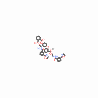 O=CC1(OC2CCC(OC(=O)C3CCCCC3C(O)OCCNC(=O)c3cccc(C4=NCCO4)c3)CC2)CCCCC1C(=O)OCCNC(=O)c1cccc(C2=NCCO2)c1